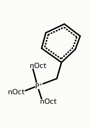 CCCCCCCC[P+](CCCCCCCC)(CCCCCCCC)Cc1ccccc1